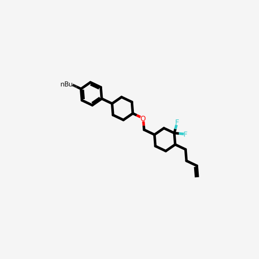 C=CCCC1CCC(COC2CCC(c3ccc(CCCC)cc3)CC2)CC1(F)F